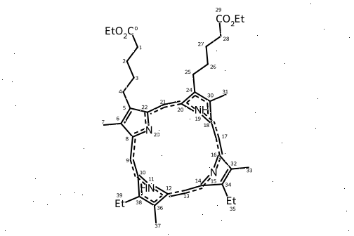 CCOC(=O)CCCCC1=C(C)c2cc3[nH]c(cc4nc(cc5[nH]c(cc1n2)c(CCCCC(=O)OCC)c5C)C(C)=C4CC)c(C)c3CC